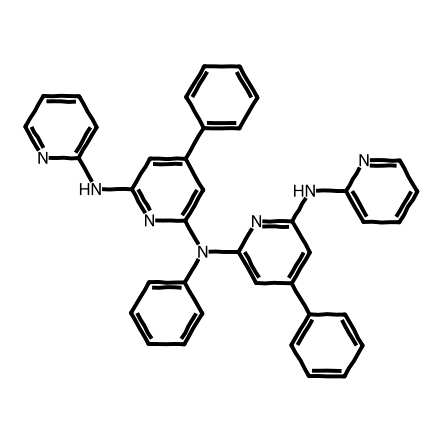 c1ccc(-c2cc(Nc3ccccn3)nc(N(c3ccccc3)c3cc(-c4ccccc4)cc(Nc4ccccn4)n3)c2)cc1